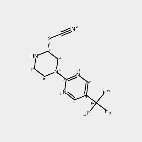 N#CC[C@@H]1CN(c2ncc(C(F)(F)F)cn2)CCN1